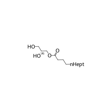 CCCCCCCCCCC(=O)OC[C@H](O)CO